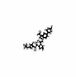 CC(=O)c1nn(CC(=O)N2C[C@H](F)C[C@H]2C(=O)Nc2nn(CC(F)(F)F)cc2C)c2ccc(-c3cnc(C)nc3)cc12